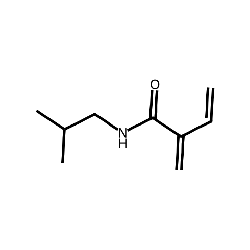 C=CC(=C)C(=O)NCC(C)C